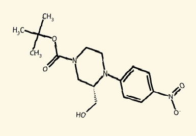 CC(C)(C)OC(=O)N1CCN(c2ccc([N+](=O)[O-])cc2)[C@H](CO)C1